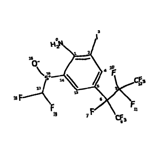 Nc1c(I)cc(C(F)(C(F)(F)F)C(F)(F)C(F)(F)F)cc1[S+]([O-])C(F)F